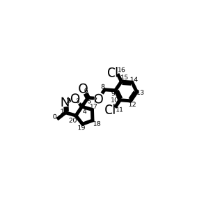 CC1=NOC2(C(=O)OCc3c(Cl)cccc3Cl)CCCC12